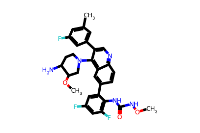 CONC(=O)Nc1c(F)cc(F)cc1-c1ccc2ncc(-c3cc(C)cc(F)c3)c(N3CCC(N)C(OC)C3)c2c1